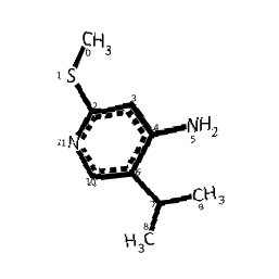 CSc1cc(N)c(C(C)C)cn1